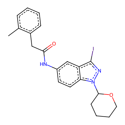 Cc1ccccc1CC(=O)Nc1ccc2c(c1)c(I)nn2C1CCCCO1